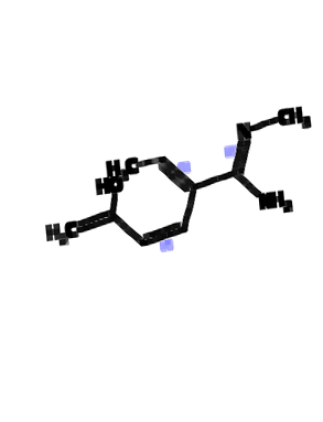 C=C(O)\C=C/C(=C\C)C(/N)=N/C